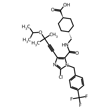 CC(C)OC(C)(C)C#Cc1nc(Cl)n(Cc2ccc(C(F)(F)F)cc2)c1C(=O)NC[C@H]1CC[C@H](C(=O)O)CC1